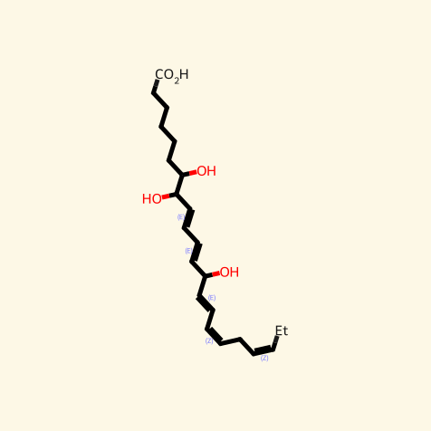 CC/C=C\C/C=C\C=C\C(O)/C=C/C=C/C(O)C(O)CCCCCC(=O)O